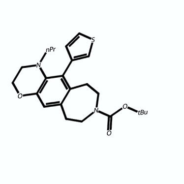 CCCN1CCOc2cc3c(c(-c4ccsc4)c21)CCN(C(=O)OC(C)(C)C)CC3